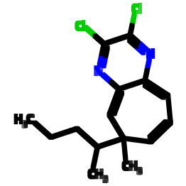 CCCC(C)C1(C)C=CC=c2nc(Cl)c(Cl)nc2=C1